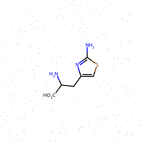 Nc1nc(CC(N)C(=O)O)cs1